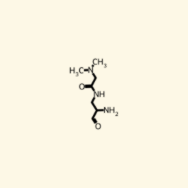 CN(C)CC(=O)NCC(N)C=O